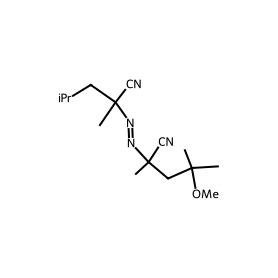 COC(C)(C)CC(C)(C#N)N=NC(C)(C#N)CC(C)C